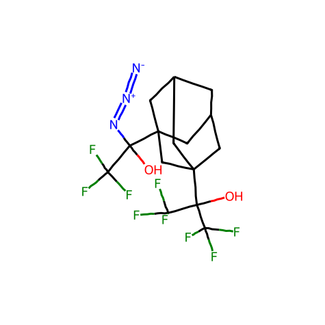 [N-]=[N+]=NC(O)(C(F)(F)F)C12CC3CC(C1)CC(C(O)(C(F)(F)F)C(F)(F)F)(C3)C2